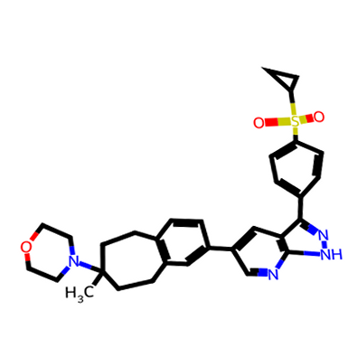 CC1(N2CCOCC2)CCc2ccc(-c3cnc4[nH]nc(-c5ccc(S(=O)(=O)C6CC6)cc5)c4c3)cc2CC1